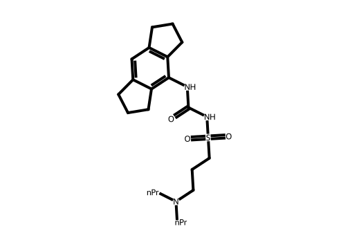 CCCN(CCC)CCCS(=O)(=O)NC(=O)Nc1c2c(cc3c1CCC3)CCC2